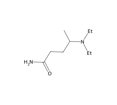 CCN(CC)C(C)CCC(N)=O